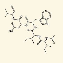 CC[C@H](C)[C@H](NC(C)=O)C(=O)N[C@H](C(=O)N[C@@H](Cc1c[nH]c2ccccc12)C(=O)N[C@@H](CC(=O)O)C(=O)N[C@H]([C]=O)C(C)C)[C@@H](C)CC